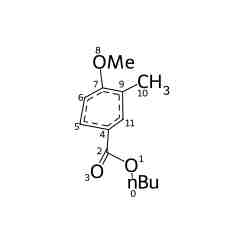 CCCCOC(=O)c1ccc(OC)c(C)c1